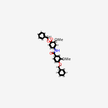 CCOC1(OCc2ccccc2)C=CC(NC(=O)c2ccc(OCc3ccccc3)c(OC)c2)=CC1OC